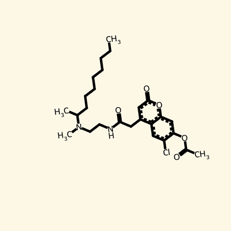 CCCCCCCCC(C)N(C)CCNC(=O)Cc1cc(=O)oc2cc(OC(C)=O)c(Cl)cc12